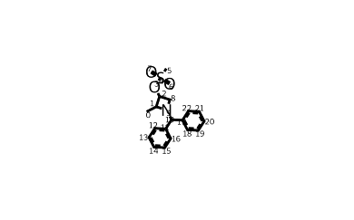 CC1C(OS(C)(=O)=O)CN1C(c1ccccc1)c1ccccc1